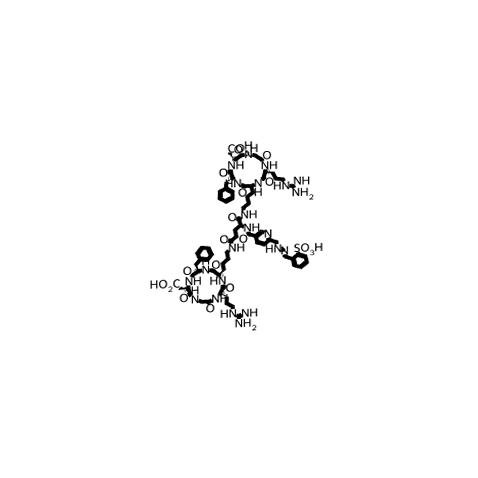 N=C(N)NCCC[C@@H]1NC(=O)CNC(=O)[C@@H](CC(=O)O)NC(=O)[C@@H](Cc2ccccc2)NC(=O)C(CCCCNC(=O)C(CCC(=O)NCCCC[C@H]2NC(=O)[C@H](CCCNC(=N)N)NC(=O)CNC(=O)[C@@H](CC(=O)O)NC(=O)[C@@H](Cc3ccccc3)NC2=O)NC(=O)c2ccc(CNN=Cc3ccccc3S(=O)(=O)O)nc2)NC1=O